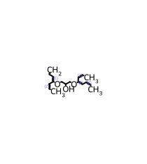 C=C/C=C(\C=C/C)OCC(O)COC(/C=C\C)=C/C=C\C